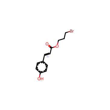 O=C(/C=C/c1ccc(O)cc1)OCCCBr